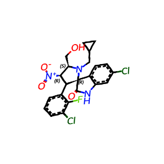 O=C1Nc2cc(Cl)ccc2[C@]12C(c1cccc(Cl)c1F)[C@@H]([N+](=O)[O-])[C@@H](CO)N2CC1CC1